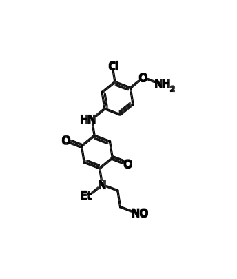 CCN(CCN=O)C1=CC(=O)C(Nc2ccc(ON)c(Cl)c2)=CC1=O